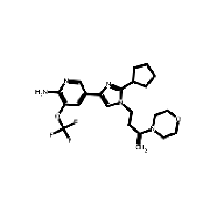 C=C(CCn1cc(-c2cnc(N)c(OC(F)(F)F)c2)nc1C1CCCC1)N1CCOCC1